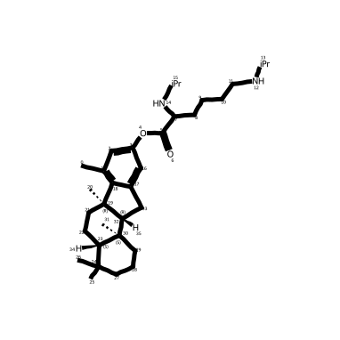 Cc1cc(OC(=O)C(CCCCNC(C)C)NC(C)C)cc2c1[C@]1(C)CC[C@H]3C(C)(C)CCC[C@]3(C)[C@H]1C2